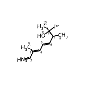 C/C(C=N)=C\C=CC(C)[C@](C)(O)I